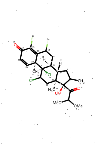 COC(OC)C(=O)[C@@]1(O)C(C)C[C@H]2[C@@H]3CC(F)C4=C(F)C(=O)C=C[C@]4(C)[C@@]3(Cl)C(Cl)C[C@@]21C